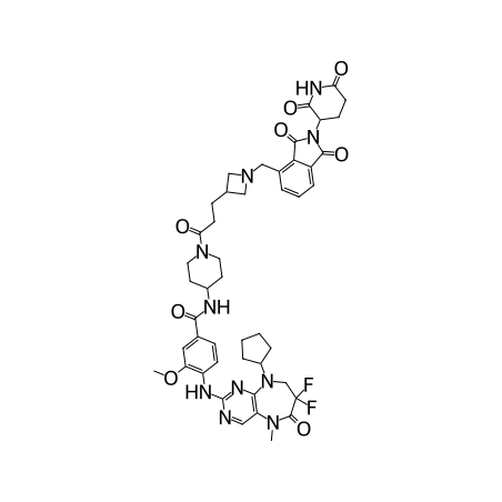 COc1cc(C(=O)NC2CCN(C(=O)CCC3CN(Cc4cccc5c4C(=O)N(C4CCC(=O)NC4=O)C5=O)C3)CC2)ccc1Nc1ncc2c(n1)N(C1CCCC1)CC(F)(F)C(=O)N2C